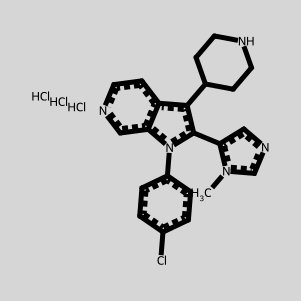 Cl.Cl.Cl.Cn1cncc1-c1c(C2CCNCC2)c2ccncc2n1-c1ccc(Cl)cc1